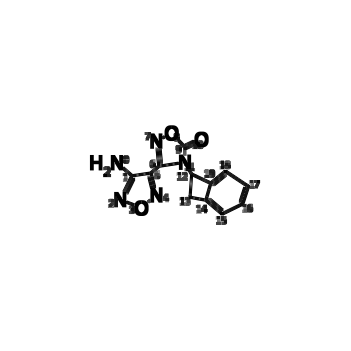 Nc1nonc1-c1noc(=O)n1C1Cc2ccccc21